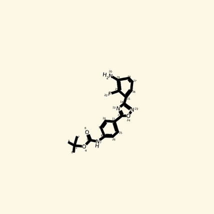 CC(C)(C)OC(=O)Nc1ccc(-c2nc(-c3cccc(N)c3F)no2)cc1